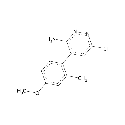 COc1ccc(-c2cc(Cl)nnc2N)c(C)c1